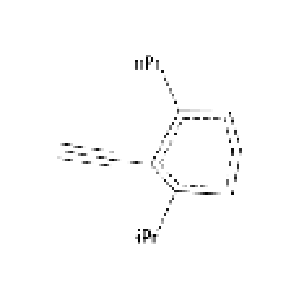 C#Cc1c(CCC)cccc1[C](C)C